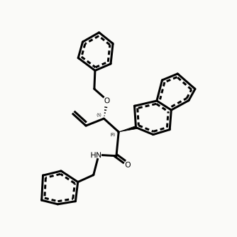 C=C[C@H](OCc1ccccc1)[C@H](C(=O)NCc1ccccc1)c1ccc2ccccc2c1